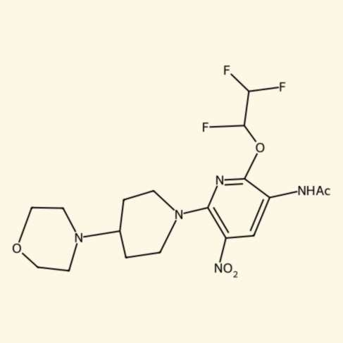 CC(=O)Nc1cc([N+](=O)[O-])c(N2CCC(N3CCOCC3)CC2)nc1OC(F)C(F)F